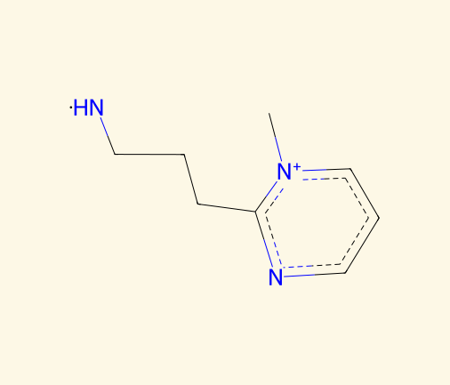 C[n+]1cccnc1CCC[NH]